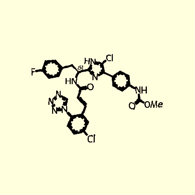 COC(=O)Nc1ccc(-c2nc([C@H](Cc3ccc(F)cc3)NC(=O)C=Cc3cc(Cl)ccc3-n3cnnn3)[nH]c2Cl)cc1